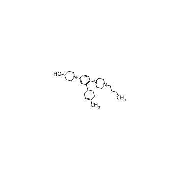 CCCCN1CCN(c2ccc(N3CCC(O)CC3)cc2C2CC=C(C)CC2)CC1